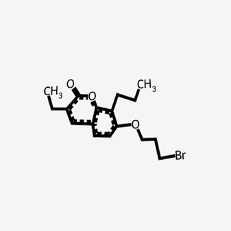 CCCc1c(OCCCBr)ccc2cc(CC)c(=O)oc12